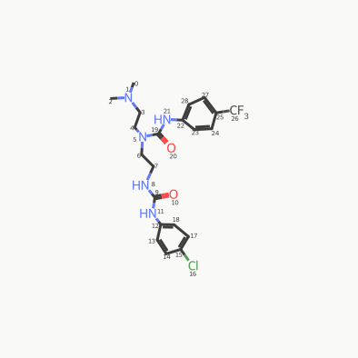 CN(C)CCN(CCNC(=O)Nc1ccc(Cl)cc1)C(=O)Nc1ccc(C(F)(F)F)cc1